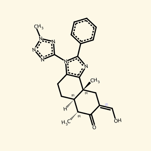 C[C@H]1C(=O)/C(=C\O)C[C@@]2(C)c3nc(-c4ccccc4)n(-c4nnn(C)n4)c3CC[C@H]12